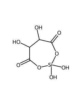 O=C1O[Si](O)(O)OC(=O)C(O)C1O